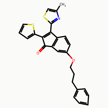 Cc1csc(C2=C(c3cccs3)C(=O)c3cc(OCCCc4ccccc4)ccc32)n1